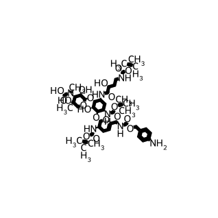 CN(C(=O)O)[C@@H]1[C@@H](O)[C@@H](O[C@@H]2[C@@H](O)[C@H](O[C@H]3OC(CNC(=O)OCc4ccc(N)cc4)=CC[C@H]3NC(=O)OC(C)(C)C)[C@@H](NC(=O)OC(C)(C)C)C[C@H]2NC(=O)[C@@H](O)CCNC(=O)OC(C)(C)C)OC[C@]1(C)O